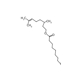 CC(C)=CCCC(C)CCOC(=O)CCCCCCCI